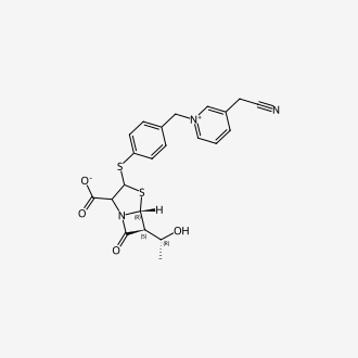 C[C@@H](O)[C@H]1C(=O)N2C(C(=O)[O-])C(Sc3ccc(C[n+]4cccc(CC#N)c4)cc3)S[C@H]12